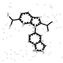 CC(C)c1nc2ccc(C(F)F)nc2n1-c1ccc2[nH]ncc2c1